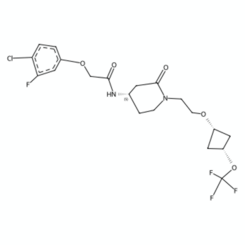 O=C(COc1ccc(Cl)c(F)c1)N[C@H]1CCN(CCO[C@H]2C[C@@H](OC(F)(F)F)C2)C(=O)C1